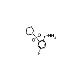 NCc1ccc(F)cc1S(=O)(=O)N1CCCCC1